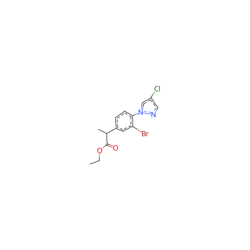 CCOC(=O)C(C)c1ccc(-n2cc(Cl)cn2)c(Br)c1